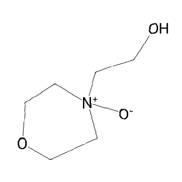 [O-][N+]1(CCO)CCOCC1